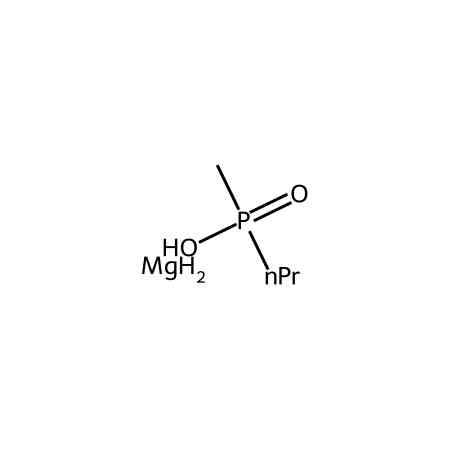 CCCP(C)(=O)O.[MgH2]